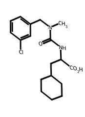 CN(Cc1cccc(Cl)c1)C(=O)NC(CC1CCCCC1)C(=O)O